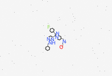 COCCN(C)Cc1ccn2c(-c3ccnc(NCc4ccccc4)n3)c(-c3ccc(F)cc3)nc2c1